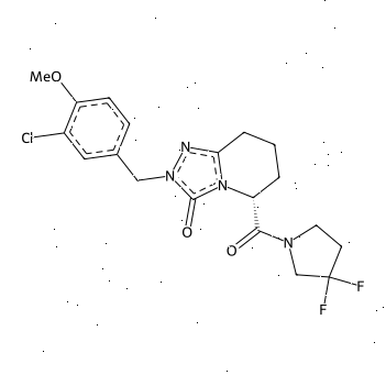 COc1ccc(Cn2nc3n(c2=O)[C@@H](C(=O)N2CCC(F)(F)C2)CCC3)cc1Cl